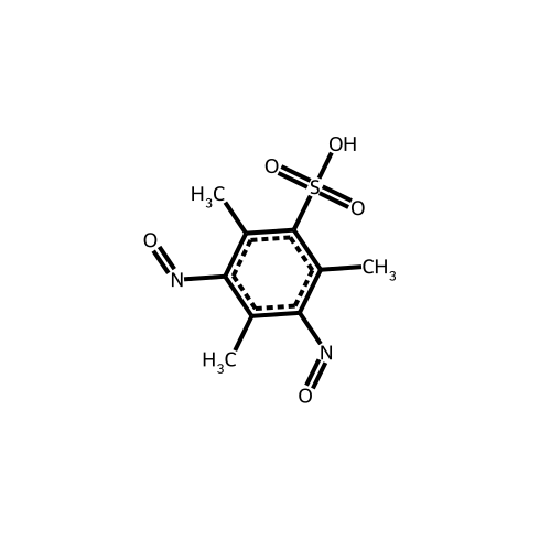 Cc1c(N=O)c(C)c(S(=O)(=O)O)c(C)c1N=O